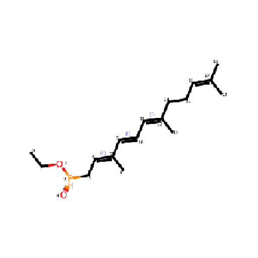 CCO[PH](=O)C/C=C(C)/C=C/C=C(\C)CCC=C(C)C